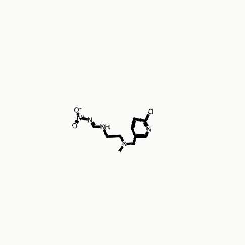 CN(CCN/C=N/[N+](=O)[O-])Cc1ccc(Cl)nc1